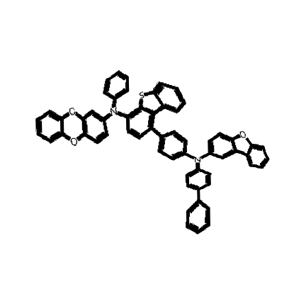 c1ccc(-c2ccc(N(c3ccc(-c4ccc(N(c5ccccc5)c5ccc6c(c5)Oc5ccccc5O6)c5sc6ccccc6c45)cc3)c3ccc4oc5ccccc5c4c3)cc2)cc1